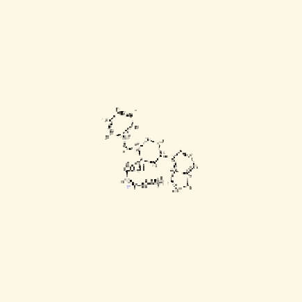 CCc1nsc2cccc(C3CCN(Cc4ccccc4)CC3)c12.O=C(O)/C=C\C(=O)O